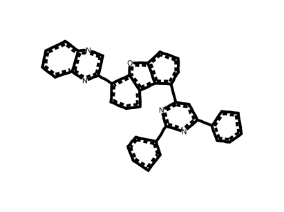 c1ccc(-c2cc(-c3cccc4oc5c(-c6cnc7ccccc7n6)cccc5c34)nc(-c3ccccc3)n2)cc1